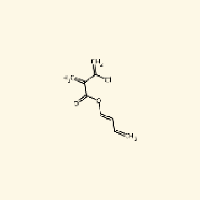 C=CC=COC(=O)C(=C)C(=C)Cl